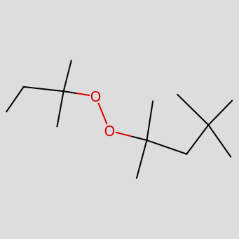 CCC(C)(C)OOC(C)(C)CC(C)(C)C